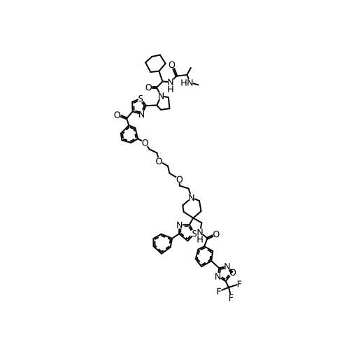 CNC(C)C(=O)NC(C(=O)N1CCCC1c1nc(C(=O)c2cccc(OCCOCCOCCN3CCC(CNC(=O)c4cccc(-c5noc(C(F)(F)F)n5)c4)(c4nc(-c5ccccc5)cs4)CC3)c2)cs1)C1CCCCC1